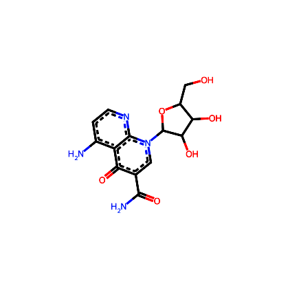 NC(=O)c1cn(C2OC(CO)C(O)C2O)c2nccc(N)c2c1=O